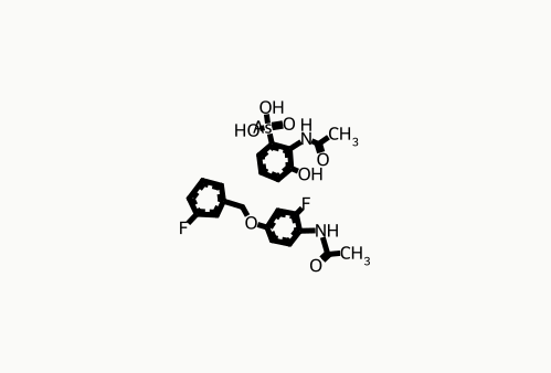 CC(=O)Nc1c(O)cccc1[As](=O)(O)O.CC(=O)Nc1ccc(OCc2cccc(F)c2)cc1F